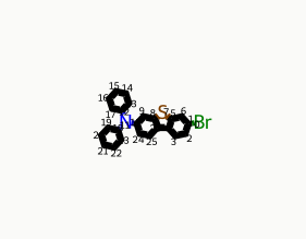 Brc1ccc2c(c1)sc1cc(N(c3ccccc3)c3ccccc3)ccc12